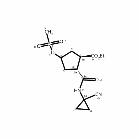 CCOC(=O)[C@@H]1CC(OS(C)(=O)=O)C[C@H]1C(=O)NC1(C#N)CC1